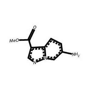 COC(=O)c1cnn2cc(N)ccc12